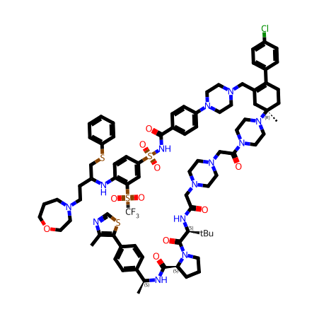 Cc1ncsc1-c1ccc([C@H](C)NC(=O)[C@@H]2CCCN2C(=O)[C@@H](NC(=O)CN2CCN(CC(=O)N3CCN([C@]4(C)CCC(c5ccc(Cl)cc5)=C(CN5CCN(c6ccc(C(=O)NS(=O)(=O)c7ccc(NC(CCN8CCCOCC8)CSc8ccccc8)c(S(=O)(=O)C(F)(F)F)c7)cc6)CC5)C4)CC3)CC2)C(C)(C)C)cc1